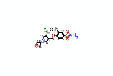 NS(=O)(=O)c1ccc(OC[C@H]2CN(C3COC3)C[C@@H]2CF)c([N+](=O)[O-])c1